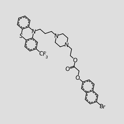 O=C(COc1ccc2cc(Br)ccc2c1)OCCN1CCN(CCCN2c3ccccc3Sc3ccc(C(F)(F)F)cc32)CC1